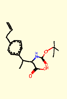 C=CCc1ccc(C(C)C(NC(=O)OC(C)(C)C)C(=O)O)cc1